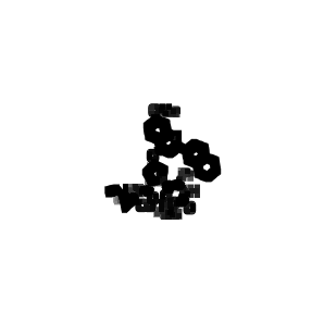 C=C[C@@H]1C[C@]1(NC(=O)[C@@H]1C[C@@H](Oc2cc(-c3ccc4c(c3)CCCC4)nc3cc(OC)ccc23)CN1C(=O)[C@@H](NC(=O)OC(C)(C)C)C(C)C)C(=O)O